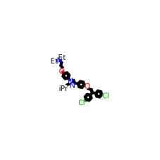 CCN(CC)CCCOc1ccc(-n2cc(-c3ccc(OCC=C(c4ccc(Cl)cc4)c4ccc(Cl)cc4)cc3)nc2CC(C)C)cc1